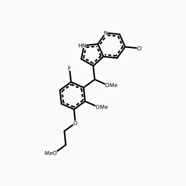 COCCOc1ccc(F)c(C(OC)c2c[nH]c3ncc(Cl)cc23)c1OC